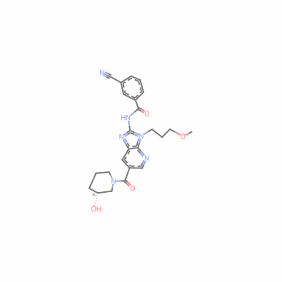 COCCCn1c(NC(=O)c2cccc(C#N)c2)nc2cc(C(=O)N3CCC[C@@H](O)C3)cnc21